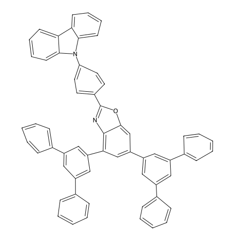 c1ccc(-c2cc(-c3ccccc3)cc(-c3cc(-c4cc(-c5ccccc5)cc(-c5ccccc5)c4)c4nc(-c5ccc(-n6c7ccccc7c7ccccc76)cc5)oc4c3)c2)cc1